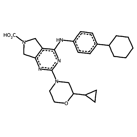 O=C(O)N1Cc2nc(N3CCOC(C4CC4)C3)nc(Nc3ccc(C4CCCCC4)cc3)c2C1